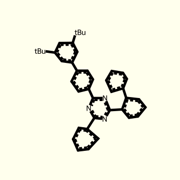 CC(C)(C)c1cc(-c2ccc(-c3nc(-c4ccccc4)nc(-c4ccccc4-c4ccccc4)n3)cc2)cc(C(C)(C)C)c1